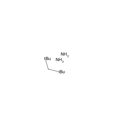 CCC(C)CC(C)(C)C.N.N